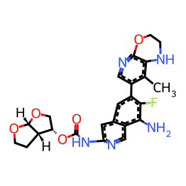 Cc1c(-c2cc3cc(NC(=O)O[C@H]4CO[C@H]5OCC[C@H]54)ncc3c(N)c2F)cnc2c1NCCO2